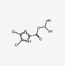 CCCC(S)OC(=O)c1nc(Cl)c(Cl)[nH]1